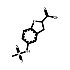 CS(=O)(=O)Nc1ccc2c(c1)CC(C(=O)O)O2